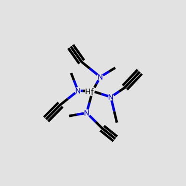 C#C[N](C)[Hf]([N](C)C#C)([N](C)C#C)[N](C)C#C